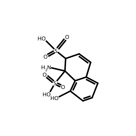 NC1(S(=O)(=O)O)c2c(O)cccc2C=CC1S(=O)(=O)O